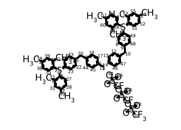 Cc1ccc([S+](c2ccc(Cc3ccc([I+]c4ccc(Cc5ccc([S+](c6ccc(C)cc6C)c6ccc(C)cc6C)cc5)cc4)cc3)cc2)c2ccc(C)cc2C)c(C)c1.O=S(=O)([O-])C(F)(F)F.O=S(=O)([O-])C(F)(F)F.O=S(=O)([O-])C(F)(F)F